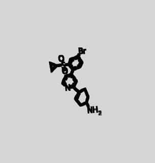 NC1CC=C(c2cc(-c3ccc(Br)cc3S(=O)(=O)C3CC3)ccn2)CC1